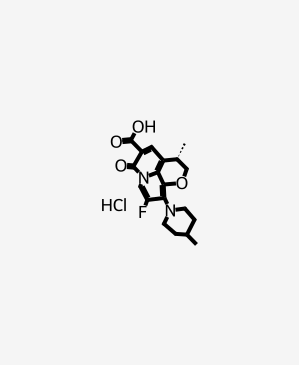 CC1CCN(c2c(F)cn3c(=O)c(C(=O)O)cc4c3c2OC[C@H]4C)CC1.Cl